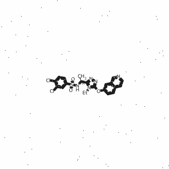 CCn1c(Oc2ccc3ccncc3c2)nnc1[C@@H](C)NS(=O)(=O)c1ccc(Cl)c(Cl)c1